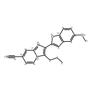 CCCc1c(-c2cc3cc(OC)ccc3o2)nc2cc(C#N)ccn12